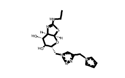 CCNC1=N[C@@H]2[C@@H](O)[C@H](O)[C@@H](Cn3cc(Cn4cccc4)nn3)O[C@@H]2S1